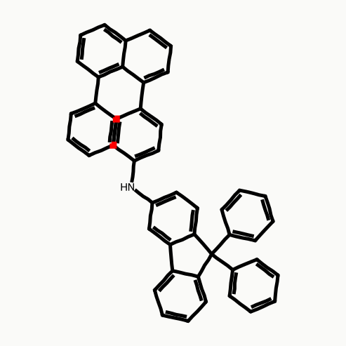 c1ccc(-c2cccc3cccc(-c4ccc(Nc5ccc6c(c5)-c5ccccc5C6(c5ccccc5)c5ccccc5)cc4)c23)cc1